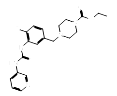 CCOC(=O)N1CCN(Cc2ccc(F)c(NC(=O)Nc3cccnc3)c2)CC1